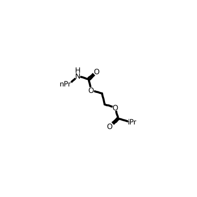 CCCNC(=O)OCCOC(=O)C(C)C